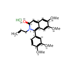 C=CCn1c(-c2ccc(OC)c(OC)c2)c2cc(OC)c(OC)cc2cc1=O.Cl